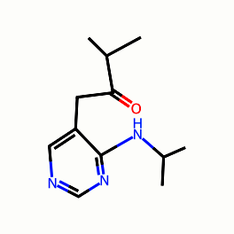 CC(C)Nc1ncncc1CC(=O)C(C)C